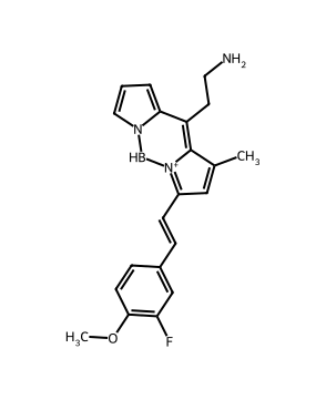 COc1ccc(/C=C/C2=[N+]3Bn4cccc4C(CCN)=C3C(C)=C2)cc1F